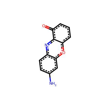 Nc1ccc2nc3c(=O)cccc-3oc2c1